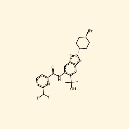 CC(C)[C@H]1CC[C@H](c2nc3cc(C(C)(C)O)c(NC(=O)c4cccc(C(F)F)n4)cc3s2)CC1